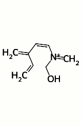 C=CC(=C)/C=C\[N+](=C)CO